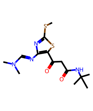 CSc1nc(/N=C/N(C)C)c(C(=O)CC(=O)NC(C)(C)C)s1